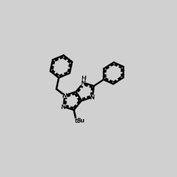 CC(C)(C)c1nn(Cc2ccccc2)c2[nH]c(-c3ccccc3)nc12